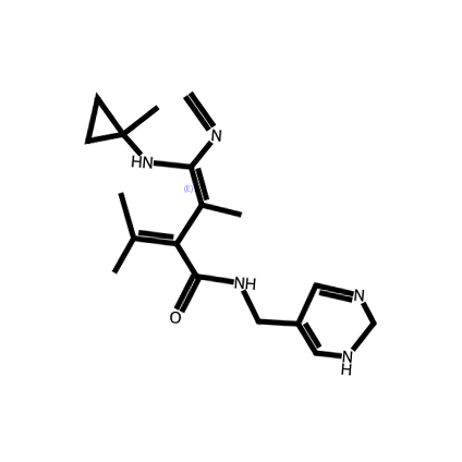 C=N/C(NC1(C)CC1)=C(\C)C(C(=O)NCC1=CNCN=C1)=C(C)C